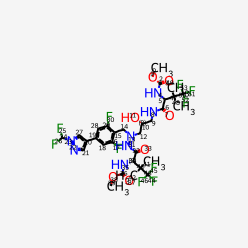 COC(=O)NC(C(=O)NC[C@@H](O)CN(Cc1c(F)cc(-c2cnn(C(F)F)c2)cc1F)NC(=O)[C@@H](NC(=O)OC)C(C)(C)C(F)(F)F)C(C)(C)C(F)(F)F